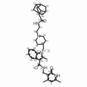 Cc1cc(C)c(CNC(=O)c2c(C)n([C@@H](C)C3CCN(CCNC(=O)CC4C5CC6CC(C5)C4C6)CC3)c3ccccc23)c(=O)[nH]1